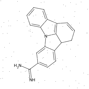 N=C(N)c1ccc2c(c1)-n1c3c(c4ccccc41)C=CCC23